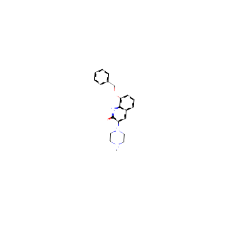 CN1CCN(c2cc3cccc(OCc4ccccc4)c3[nH]c2=O)CC1